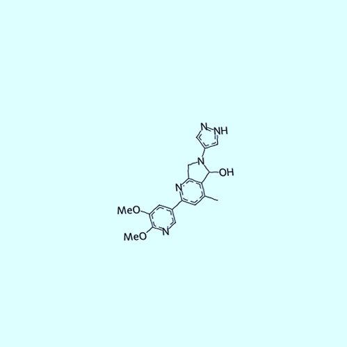 COc1cc(-c2cc(C)c3c(n2)CN(c2cn[nH]c2)C3O)cnc1OC